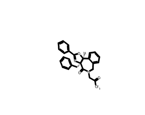 O=C(CN1Cc2ccccc2[C@@H]2OC(c3ccccc3)=N[C@]2(Cc2ccccc2)C1=O)C(F)(F)F